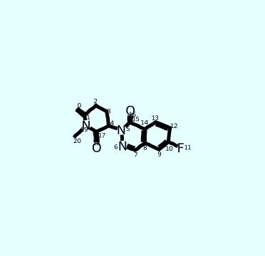 C=C1CCC(n2ncc3cc(F)ccc3c2=O)C(=O)N1C